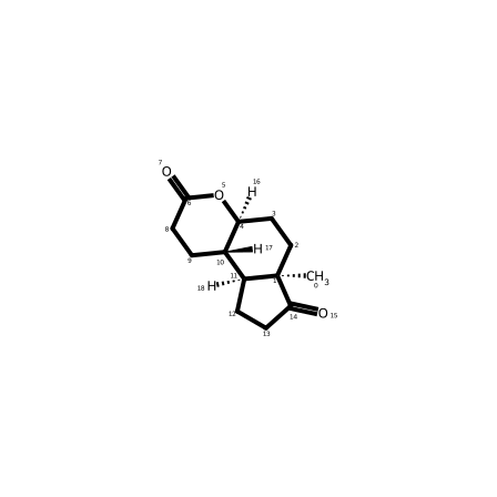 C[C@@]12CC[C@@H]3OC(=O)CC[C@H]3[C@@H]1CCC2=O